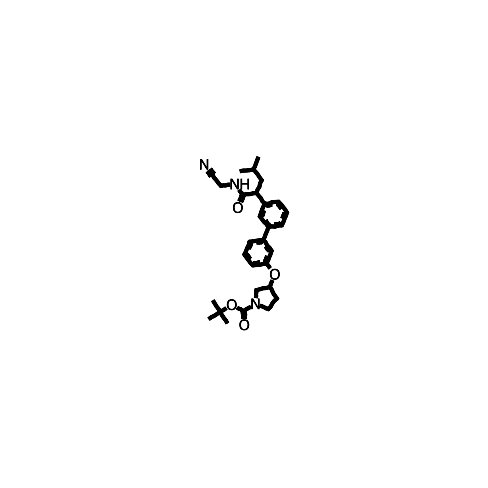 CC(C)CC(C(=O)NCC#N)c1cccc(-c2cccc(OC3CCN(C(=O)OC(C)(C)C)C3)c2)c1